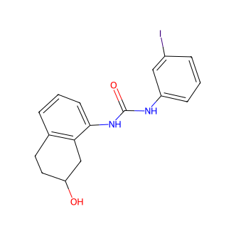 O=C(Nc1cccc(I)c1)Nc1cccc2c1CC(O)CC2